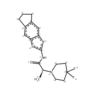 C[C@@H](C(=O)Nc1nc2cc3c(cc2s1)CCC3)N1CCC(F)(F)CC1